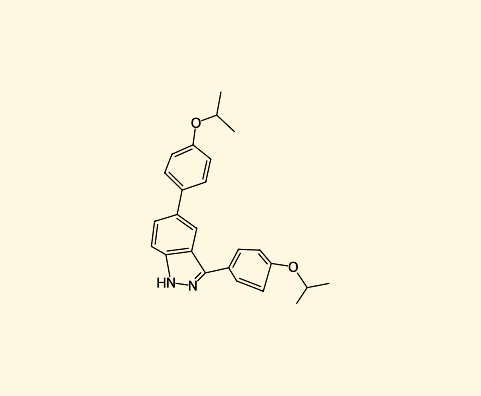 CC(C)Oc1ccc(-c2ccc3[nH]nc(-c4ccc(OC(C)C)cc4)c3c2)cc1